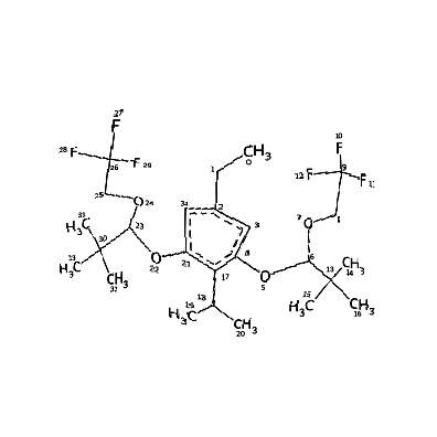 CCc1cc(OC(OCC(F)(F)F)C(C)(C)C)c(C(C)C)c(OC(OCC(F)(F)F)C(C)(C)C)c1